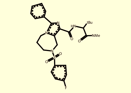 CNC(=O)C(NC(=O)c1nc(-c2ccccc2)n2c1CN(S(=O)(=O)c1ccc(F)cc1)CCC2)C(C)(C)C